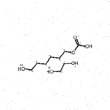 O=C(O)OCCCCCCO.OCCO